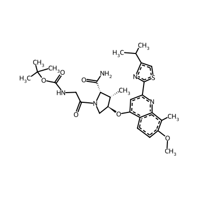 COc1ccc2c(O[C@H]3CN(C(=O)CNC(=O)OC(C)(C)C)[C@H](C(N)=O)[C@@H]3C)cc(-c3nc(C(C)C)cs3)nc2c1C